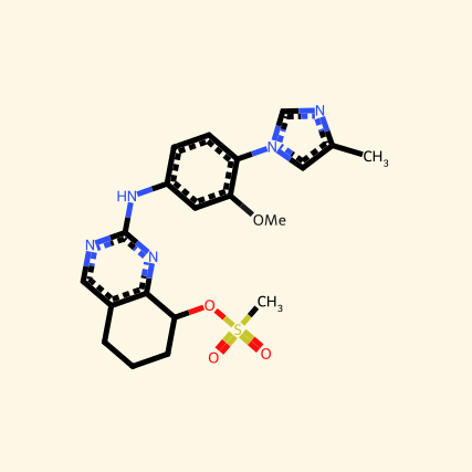 COc1cc(Nc2ncc3c(n2)C(OS(C)(=O)=O)CCC3)ccc1-n1cnc(C)c1